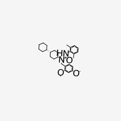 COc1ccc(CN(C(=O)Nc2c(C)cccc2C)[C@H]2CC[C@@H](C3CCCCC3)CC2)c(OC)c1